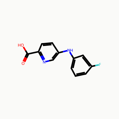 O=C(O)c1ccc(Nc2cccc(F)c2)cn1